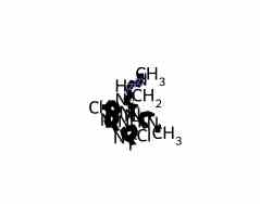 C=C(/C=C\C=N/C)[C@H](Nc1cc(Cl)c2ncc(C#N)c(Nc3ccc(F)c(Cl)c3)c2c1)c1cn(C2CCN(CC)CC2)nn1